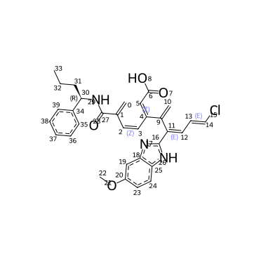 C=C(/C=C\C(=C\C(=O)O)C(=C)/C(=C\C=C\Cl)c1nc2cc(OC)ccc2[nH]1)C(=O)N[C@H](CCC)c1ccccc1